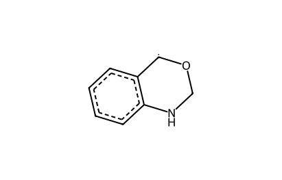 [CH]1OCNc2ccccc21